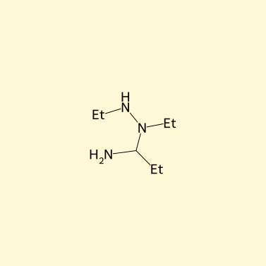 CCNN(CC)C(N)CC